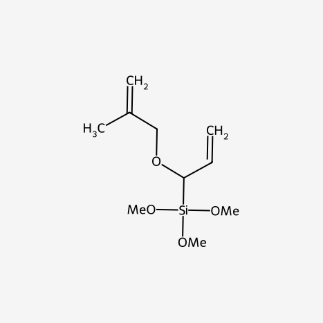 C=CC(OCC(=C)C)[Si](OC)(OC)OC